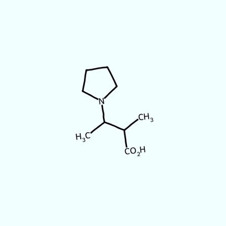 CC(C(=O)O)C(C)N1CCCC1